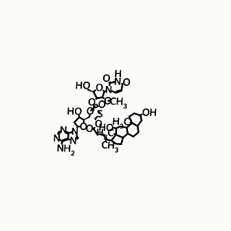 CO[C@H]1C(OP(=O)(OC[C@H]2O[C@@H](n3cnc4c(N)ncnc43)CC2O)SCOC(=O)CCC(C)C2CCC3C4CCC5CC(O)CCC5(C)C4CC(O)C23C)[C@@H](CO)O[C@H]1n1ccc(=O)[nH]c1=O